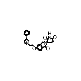 O=C1CCC(N2Cc3cc(OCCN4CC[C@@H](c5ccccc5)C4)ccc3C2=O)C(=O)N1